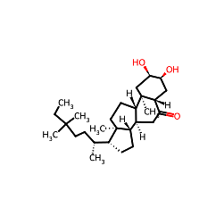 CCC(C)(C)CC[C@@H](C)[C@H]1CC[C@H]2[C@@H]3CC(=O)[C@H]4C[C@H](O)[C@H](O)C[C@]4(C)[C@H]3CC[C@]12C